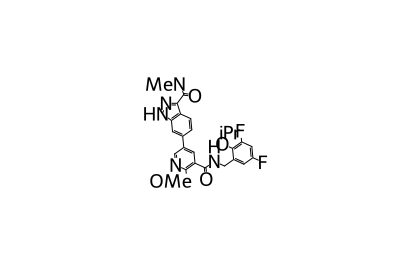 CNC(=O)c1n[nH]c2cc(-c3cnc(OC)c(C(=O)NCc4cc(F)cc(F)c4OC(C)C)c3)ccc12